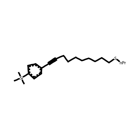 CCCSCCCCCCCCC#Cc1ccc([Si](C)(C)C)cc1